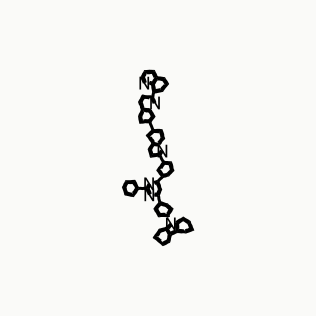 c1ccc(-c2nc(-c3ccc(-n4c5ccccc5c5ccccc54)cc3)cc(-c3cccc(-c4ccc5cc(-c6ccc7ccc(-c8cccc9cccnc89)nc7c6)ccc5n4)c3)n2)cc1